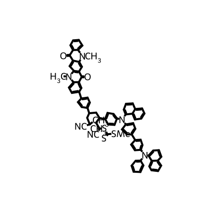 CSC(=S)SC(C#N)CC(CC(CC(C)(C)C#N)c1ccc(-c2ccc3c(c2)c(=O)c2cc4c(cc2n3C)c(=O)c2ccccc2n4C)cc1)c1ccc(N(c2ccc(-c3ccc(N(c4ccccc4)c4cccc5ccccc45)cc3)cc2)c2cccc3ccccc23)cc1